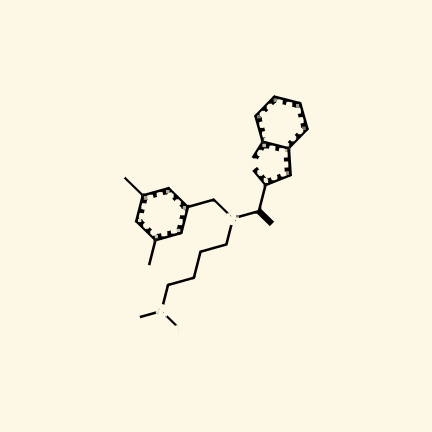 CCN(CC)CCCCN(Cc1cc(C)cc(C)c1)C(=O)c1cc2ccccc2s1